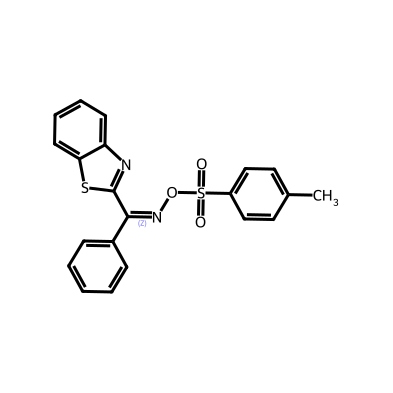 Cc1ccc(S(=O)(=O)O/N=C(/c2ccccc2)c2nc3ccccc3s2)cc1